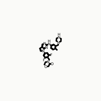 Cc1ccc(Nc2ncc3ccn(-c4cc(F)c(CN5CCOCC5=O)c(F)c4)c3n2)cc1CN1CCNCC1